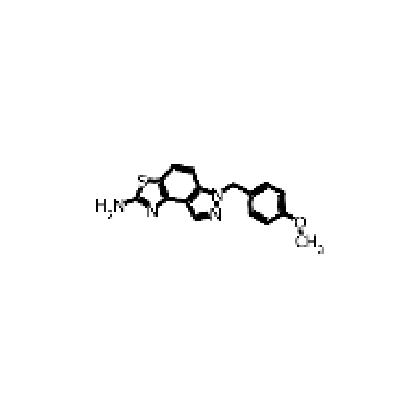 COc1ccc(Cn2ncc3c4nc(N)sc4ccc32)cc1